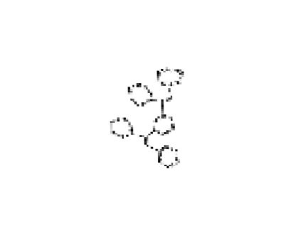 C(=C(c1ccccc1)c1cccc(C(=Cc2ccccc2)c2ccccc2)c1)c1ccccc1